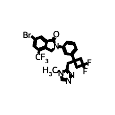 Cn1cnnc1CC1(c2cccc(N3Cc4c(cc(Br)cc4C(F)(F)F)C3=O)c2)CC(F)(F)C1